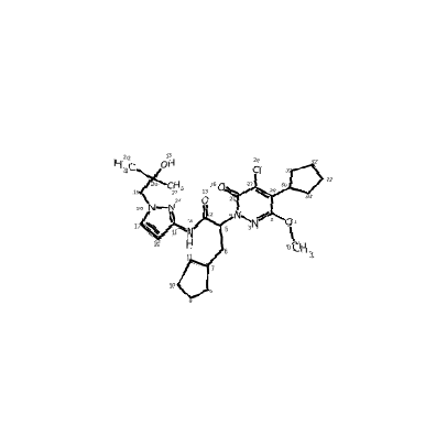 COc1nn(C(CC2CCCC2)C(=O)Nc2ccn(CC(C)(C)O)n2)c(=O)c(Cl)c1C1CCCC1